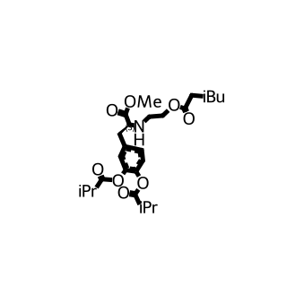 CCC(C)CC(=O)OCCN[C@@H](Cc1ccc(OC(=O)C(C)C)c(OC(=O)C(C)C)c1)C(=O)OC